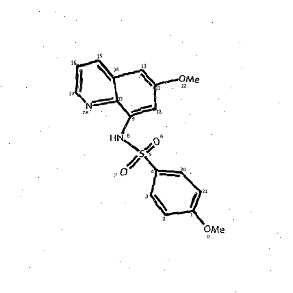 COc1ccc(S(=O)(=O)Nc2cc(OC)cc3cccnc23)cc1